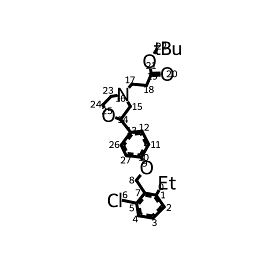 CCc1cccc(Cl)c1COc1ccc(C2CN(CCC(=O)OC(C)(C)C)CCO2)cc1